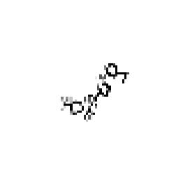 CC(O)(c1ncc(-c2cccc(Nc3cc(C(F)F)ccn3)n2)s1)[C@H]1CC[C@H](C(=O)O)CC1